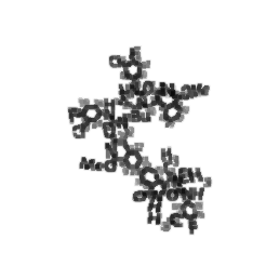 CCCCN(Cc1cnc(OC)c2ccccc12)C(=O)Nc1ccc(F)c(Cl)c1.COc1ncc(CN(CC2CC2)C(=O)Nc2ccc(F)c(Cl)c2)c2ccccc12.Cc1cc(NC(=O)N(C)C(C)c2c[nH]c(=O)c3ccccc23)ccc1F